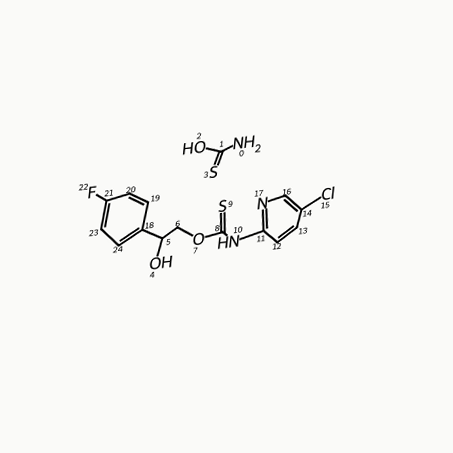 NC(O)=S.OC(COC(=S)Nc1ccc(Cl)cn1)c1ccc(F)cc1